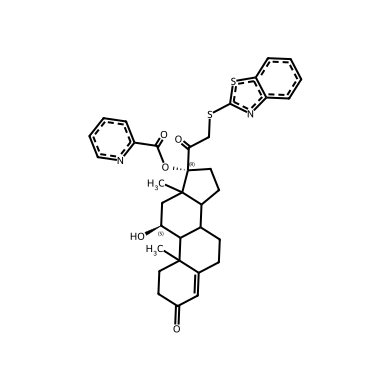 CC12CCC(=O)C=C1CCC1C2[C@@H](O)CC2(C)C1CC[C@]2(OC(=O)c1ccccn1)C(=O)CSc1nc2ccccc2s1